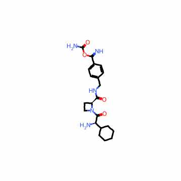 N=C(OC(N)=O)c1ccc(CNC(=O)[C@@H]2CCN2C(=O)[C@H](N)C2CCCCC2)cc1